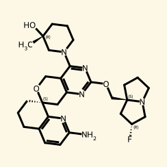 C[C@@]1(O)CCCN(c2nc(OC[C@@]34CCCN3C[C@H](F)C4)nc3c2CO[C@@]2(CCCc4ccc(N)nc42)C3)C1